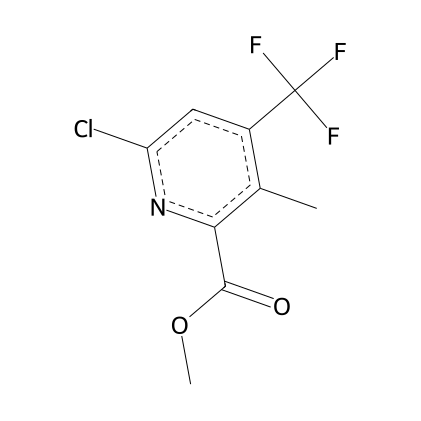 COC(=O)c1nc(Cl)cc(C(F)(F)F)c1C